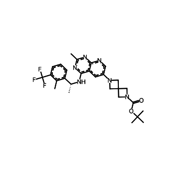 Cc1nc(N[C@H](C)c2cccc(C(F)(F)F)c2C)c2cc(N3CC4(CN(C(=O)OC(C)(C)C)C4)C3)cnc2n1